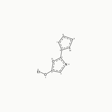 CCOc1cnc(-c2cccs2)o1